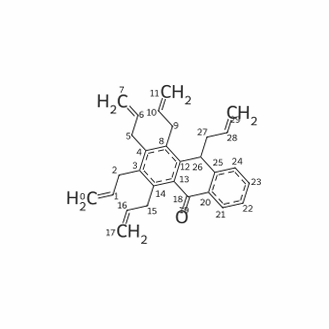 C=CCc1c(CC=C)c(CC=C)c2c(c1CC=C)C(=O)c1ccccc1C2CC=C